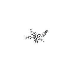 CC(C)Oc1cc(C(F)(F)F)ccc1C1=NC(c2ccc(Cl)cc2)C(c2ccc(Cl)cc2)N1C(=O)c1ccc(CN2CCN(N3CCCC3)CC2)cc1